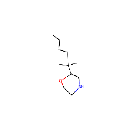 CCCCC(C)(C)C1CNCCO1